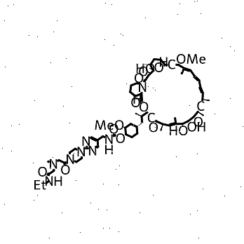 CCNC(=O)CN(C)CC(=O)N1CCN(c2ncc(CNC(=O)O[C@@H]3CC[C@@H](C[C@@H](C)[C@@H]4CC(=O)[C@H](C)/C=C(\C)[C@@H](O)[C@@H](O)C(=O)[C@H](C)C[C@H](C)/C=C/C=C/C=C(\C)[C@@H](OC)C[C@@H]5CC[C@@H](C)[C@@](O)(O5)C(=O)C(=O)N5CCCC[C@H]5C(=O)O4)C[C@H]3OC)cn2)CC1